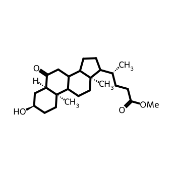 COC(=O)CC[C@@H](C)C1CCC2C3CC(=O)[C@@H]4C[C@H](O)CC[C@]4(C)C3CC[C@@]21C